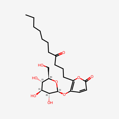 CCCCCCCC(=O)CCCc1oc(=O)ccc1O[C@@H]1O[C@H](CO)[C@@H](O)[C@H](O)[C@H]1O